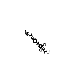 C[C@H](CCl)COc1c(Cl)cc(C(C)(C)c2ccc(OC[C@H](C)Cn3ccnc3)cc2)cc1Cl